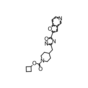 O=C(OC1CCC1)N1CCC(Cc2noc(-c3cc4cnccc4o3)n2)CC1